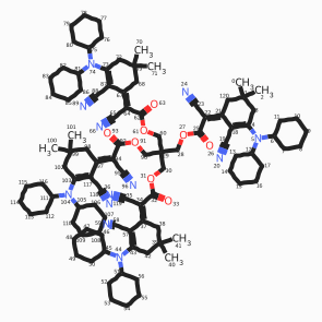 CC1(C)CC(N(C2CCCCC2)C2CCCCC2)=C(C#N)/C(=C(/C#N)C(=O)OCC(COC(=O)/C(C#N)=C2\CC(C)(C)CC(N(C3CCCCC3)C3CCCCC3)=C2C#N)(COC(=O)/C(C#N)=C2\CC(C)(C)CC(N(C3CCCCC3)C3CCCCC3)=C2C#N)COC(=O)/C(C#N)=C2\CC(C)(C)CC(N(C3CCCCC3)C3CCCCC3)=C2C#N)C1